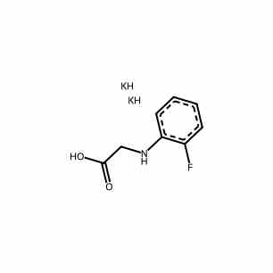 O=C(O)CNc1ccccc1F.[KH].[KH]